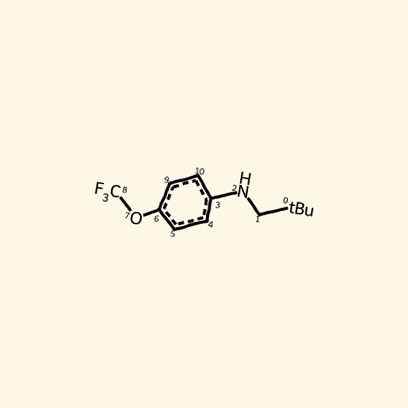 CC(C)(C)CNc1ccc(OC(F)(F)F)cc1